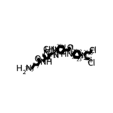 Cn1cc(NC(=O)CCCN)cc1-c1nc2cc(C(=O)Nc3ccc(N(CCCl)CCCl)cc3)ccc2[nH]1